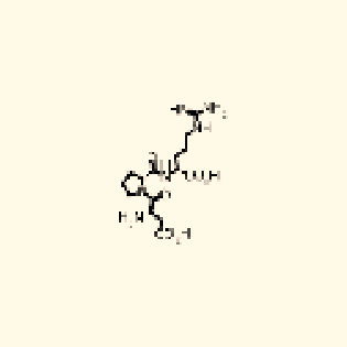 N=C(N)NCCC[C@H](NC(=O)[C@@H]1CCCN1C(=O)[C@@H](N)CC(=O)O)C(=O)O